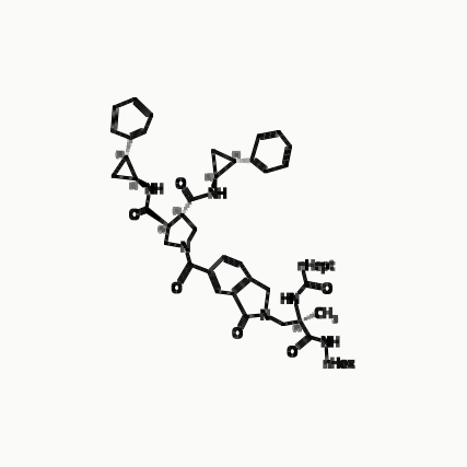 CCCCCCCC(=O)N[C@](C)(CN1Cc2ccc(C(=O)N3C[C@@H](C(=O)N[C@H]4C[C@@H]4c4ccccc4)[C@H](C(=O)N[C@H]4C[C@@H]4c4ccccc4)C3)cc2C1=O)C(=O)NCCCCCC